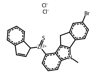 Cn1c2c(c3[c]([Zr+2](=[S])[CH]4C=Cc5ccccc54)cccc31)Cc1cc(Br)ccc1-2.[Cl-].[Cl-]